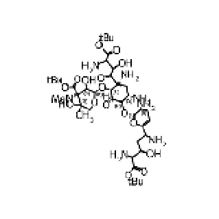 CN[C@]1(C(=O)OC(C)(C)C)[C@@H](O)[C@@H](O[C@@H]2[C@@H](O)[C@H](O[C@H]3OC(C(N)CC(O)C(N)C(=O)OC(C)(C)C)=CC[C@H]3N)[C@@H](N)C[C@]2(N)C(=O)C(O)C(N)C(=O)OC(C)(C)C)OC[C@]1(C)O